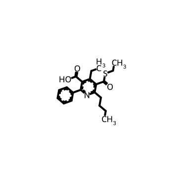 CCCCc1nc(-c2ccccc2)c(C(=O)O)c(CC)c1C(=O)SCC